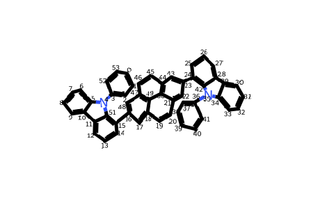 c1ccc(-n2c3ccccc3c3cccc(-c4cc5ccc6cc(-c7cccc8c9ccccc9n(-c9ccccc9)c78)cc7ccc(c4)c5c67)c32)cc1